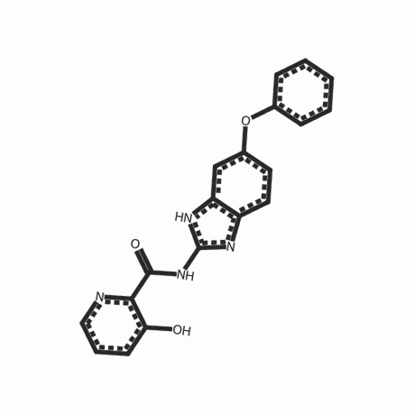 O=C(Nc1nc2ccc(Oc3ccccc3)cc2[nH]1)c1ncccc1O